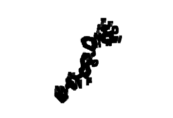 O=c1[nH]ncc(N[C@H]2CCC[C@@H](Cn3ccc4cc(-c5ncc(-n6cccn6)cn5)c(F)cc4c3=O)C2)c1C(F)(F)F